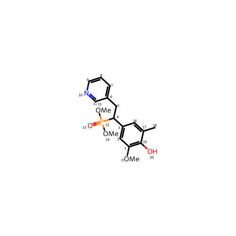 COc1cc(C(Cc2cccnc2)P(=O)(OC)OC)cc(C)c1O